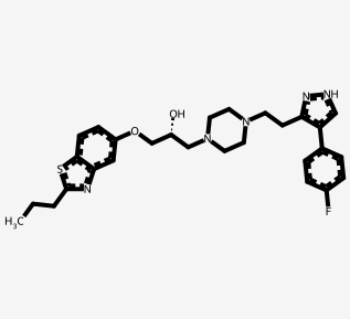 CCCc1nc2cc(OC[C@H](O)CN3CCN(CCc4n[nH]cc4-c4ccc(F)cc4)CC3)ccc2s1